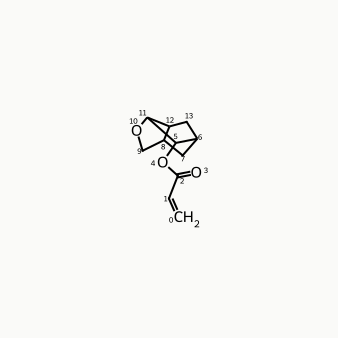 C=CC(=O)OC1C2CC3COC1C3C2